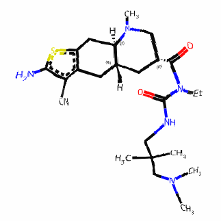 CCN(C(=O)NCC(C)(C)CN(C)C)C(=O)[C@@H]1C[C@@H]2Cc3c(sc(N)c3C#N)C[C@H]2N(C)C1